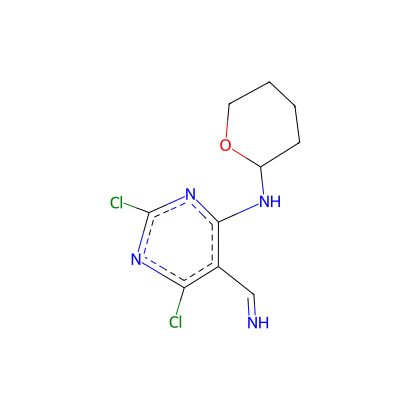 N=Cc1c(Cl)nc(Cl)nc1NC1CCCCO1